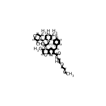 COCCOCCNC(=O)c1nc2c(cc1Cc1ccc(F)cc1)N(C(=O)CN1C[C@@H](C)NC[C@@H]1CN1[C@H](C)COC[C@H]1C)C(C)CO2